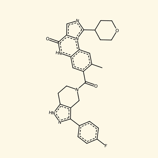 Cc1cc2c(cc1C(=O)N1CCc3[nH]nc(-c4ccc(F)cc4)c3C1)[nH]c(=O)c1cnc(C3CCOCC3)n12